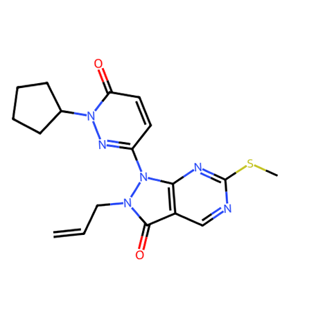 C=CCn1c(=O)c2cnc(SC)nc2n1-c1ccc(=O)n(C2CCCC2)n1